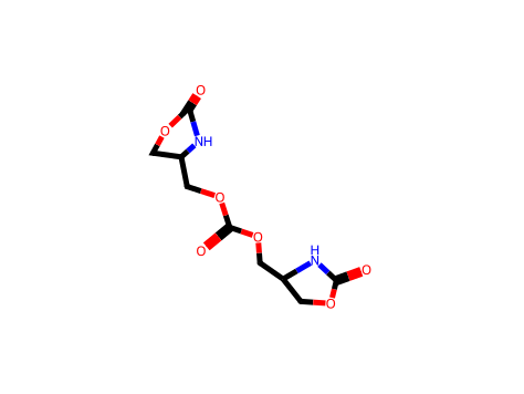 O=C1NC(COC(=O)OCC2COC(=O)N2)CO1